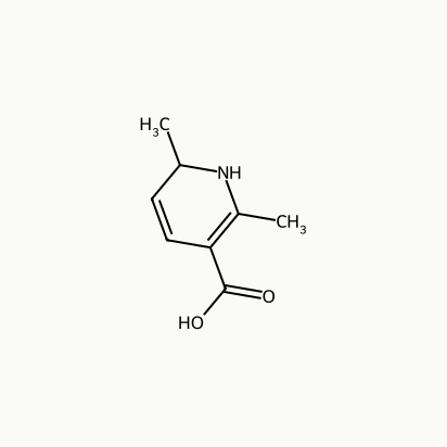 CC1=C(C(=O)O)C=CC(C)N1